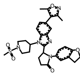 Cc1noc(C)c1-c1ccc2c(c1)nc(C1CCC(=O)N1c1ccc3c(c1)CCO3)n2C1CCN(S(C)(=O)=O)CC1